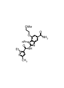 CCCn1c(NC(=O)c2cc(C)nn2CC)nc2cc(C(N)=O)cc(OCCOC)c21